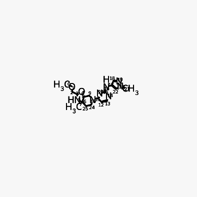 COCC(=O)NC1(C)CCN(c2ccnc(Nc3cnn(C)c3)n2)CC1